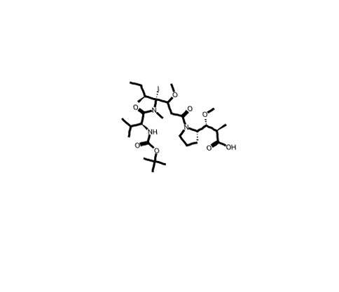 CC[C@H](C)[C@@](I)(C(CC(=O)N1CCC[C@H]1[C@H](OC)[C@@H](C)C(=O)O)OC)N(C)C(=O)[C@@H](NC(=O)OC(C)(C)C)C(C)C